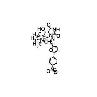 CC(CO)(C[N+]1(N=Cc2ccc(-c3ccc([N+](=O)[O-])cc3)o2)CC(=O)NC1=O)[N+](C)(C)C